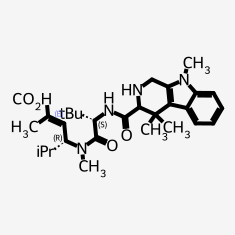 C/C(=C\[C@@H](C(C)C)N(C)C(=O)[C@@H](NC(=O)C1NCc2c(c3ccccc3n2C)C1(C)C)C(C)(C)C)C(=O)O